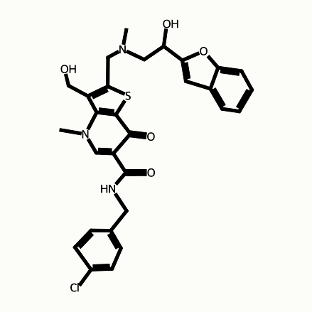 CN(Cc1sc2c(=O)c(C(=O)NCc3ccc(Cl)cc3)cn(C)c2c1CO)CC(O)c1cc2ccccc2o1